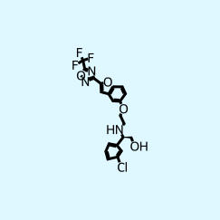 OC[C@H](NCCOc1ccc2oc(-c3noc(C(F)(F)F)n3)cc2c1)c1cccc(Cl)c1